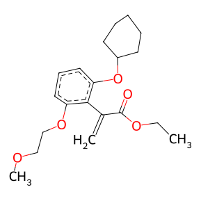 C=C(C(=O)OCC)c1c(OCCOC)cccc1OC1CCCCC1